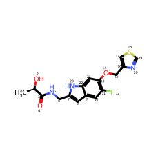 C[C@@H](O)C(=O)NCc1cc2cc(F)c(OCc3cscn3)cc2[nH]1